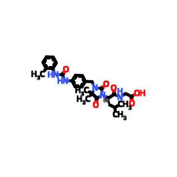 Cc1ccccc1NC(=O)Nc1ccc(CN2C(=O)N([C@@H](CC(C)C)C(=O)NCC(=O)O)C(=O)C2(C)C)cc1